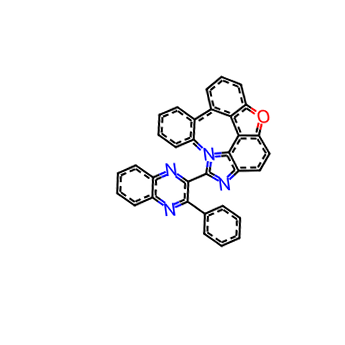 c1ccc(-c2nc3ccccc3nc2-c2nc3ccc4oc5cccc6c7ccccc7n2c3c4c56)cc1